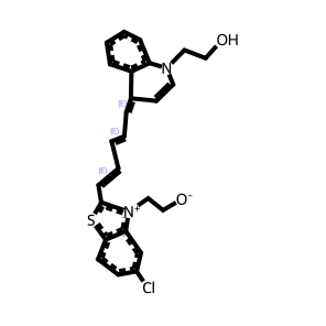 [O-]CC[n+]1c(/C=C/C=C/C=C2\C=CN(CCO)c3ccccc32)sc2ccc(Cl)cc21